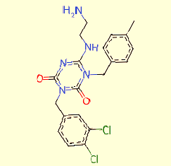 Cc1ccc(Cn2c(NCCN)nc(=O)n(Cc3ccc(Cl)c(Cl)c3)c2=O)cc1